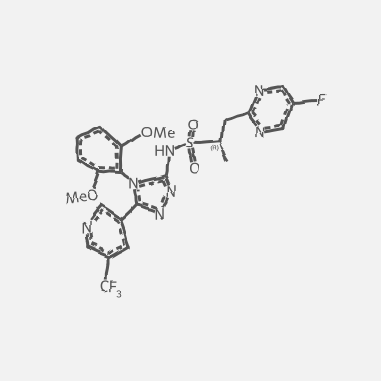 COc1cccc(OC)c1-n1c(NS(=O)(=O)[C@H](C)Cc2ncc(F)cn2)nnc1-c1cncc(C(F)(F)F)c1